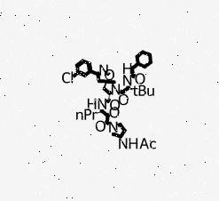 CCC[C@H](NC(=O)[C@@H]1C[C@]2(CC(c3cccc(Cl)c3)=NO2)CN1C(=O)[C@@H](NC(=O)CC1CCCCC1)C(C)(C)C)C(=O)C(=O)N1CC[C@@H](NC(C)=O)C1